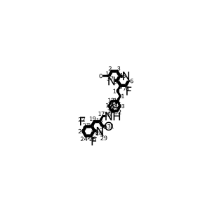 Cc1ccc2ncc(F)c(CCC34CCC(NCc5cc6c(F)ccc(F)c6n(C)c5=O)(CC3)CO4)c2n1